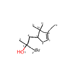 CCC(C)C(C)(O)CC1CC=C(C)C1(C)C